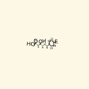 O=C(O)CC(O)CCCc1ccc(F)cc1